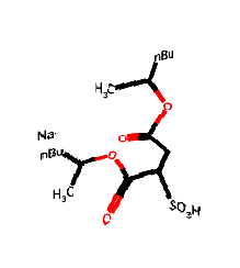 CCCCC(C)OC(=O)CC(C(=O)OC(C)CCCC)S(=O)(=O)O.[Na]